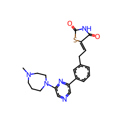 CN1CCCN(c2cncc(-c3cccc(CC=C4SC(=O)NC4=O)c3)n2)CC1